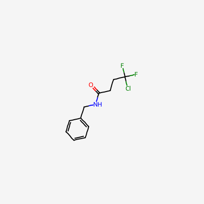 O=C(CCC(F)(F)Cl)NCc1ccccc1